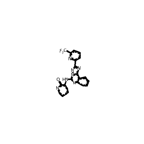 O=c1nccccc1Nc1nc2ccccc2c2nc(-c3cccc(C(F)(F)F)n3)nn12